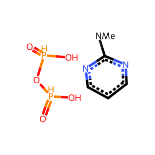 CNc1ncccn1.O=[PH](O)O[PH](=O)O